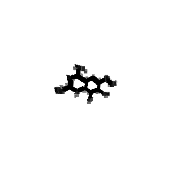 CCOc1cc2c(N)nc(C(C)(C)C)nc2c(Cl)c1O